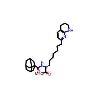 COC(=O)[C@H](CCCCCCCc1ccc2c(n1)NCCC2)NC(=O)C12CC3CC(CC(C3)C1)C2